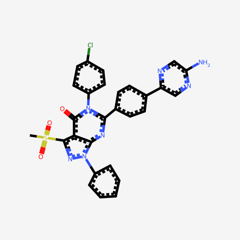 CS(=O)(=O)c1nn(-c2ccccc2)c2nc(-c3ccc(-c4cnc(N)cn4)cc3)n(-c3ccc(Cl)cc3)c(=O)c12